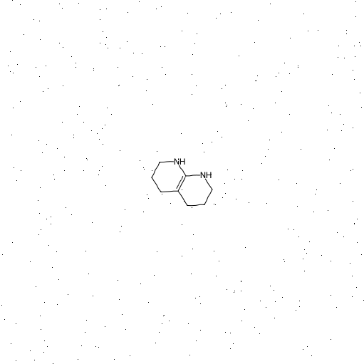 C1CNC2=C(C1)CCCN2